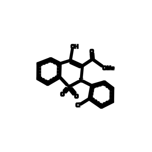 COC(=O)C1=C(O)c2ccccc2S(=O)(=O)N1c1ccccc1Cl